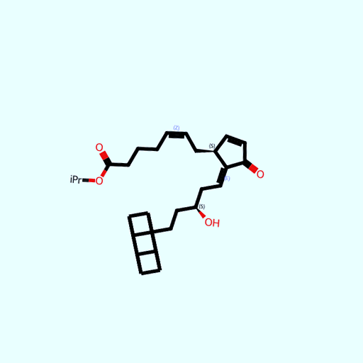 CC(C)OC(=O)CCC/C=C\C[C@H]1C=CC(=O)/C1=C/C[C@@H](O)CCC12C3C4C5C3C1C5C42